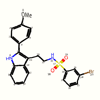 COc1ccc(-c2[nH]c3ccccc3c2CCNS(=O)(=O)c2cccc(Br)c2)cc1